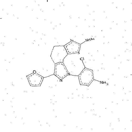 CC(=O)Nc1nc2c(s1)-c1c(c(-c3ccco3)nn1-c1ccc(N)cc1Cl)CC2